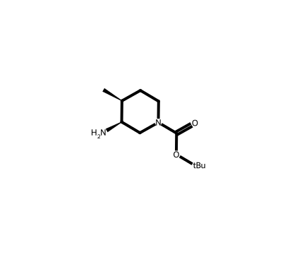 C[C@H]1CCN(C(=O)OC(C)(C)C)C[C@H]1N